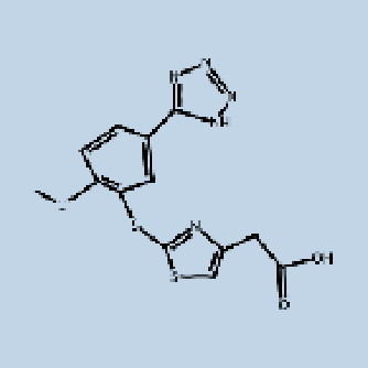 COc1ccc(-c2nnn[nH]2)cc1Sc1nc(CC(=O)O)cs1